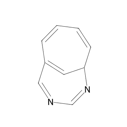 C1=CC2=CC(C=C1)N=CN=C2